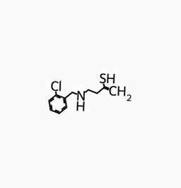 C=C(S)CCNCc1ccccc1Cl